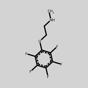 CNCCOc1c(F)c(F)c(F)c(F)c1F